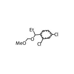 CCC(OCOC)c1ccc(Cl)cc1Cl